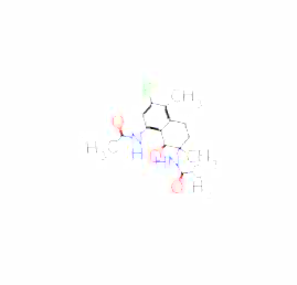 CC(=O)Nc1cc(F)c(C)c2c1C(=O)C(C)(NC(C)=O)CC2